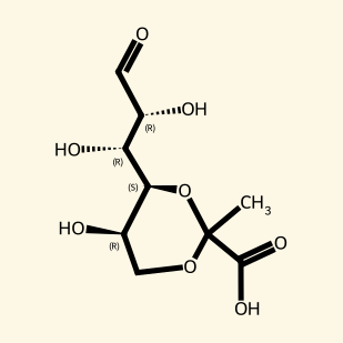 CC1(C(=O)O)OC[C@@H](O)[C@@H]([C@H](O)[C@@H](O)C=O)O1